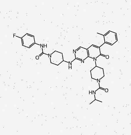 Cc1ccccc1-c1cc2cnc(NC3CCN(C(=O)Nc4ccc(F)cc4)CC3)nc2n(C2CCN(C(=O)NC(C)C)CC2)c1=O